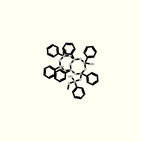 CO[Si](O)(O[Si]1(c2ccccc2)O[Si](O)(c2ccccc2)O[Si]2(c3ccccc3)O[Si](O)(c3ccccc3)O[SiH](c3ccccc3)O[Si](c3ccccc3)(O1)O2)c1ccccc1